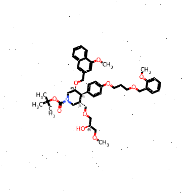 COC[C@@H](O)COC[C@@H]1CN(C(=O)OC(C)(C)C)C[C@H](OCc2cc(OC)c3ccccc3c2)[C@H]1c1ccc(OCCCOCc2ccccc2OC)cc1